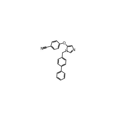 N#Cc1ccc(Oc2cncn2Cc2ccc(-c3ccccc3)cc2)cc1